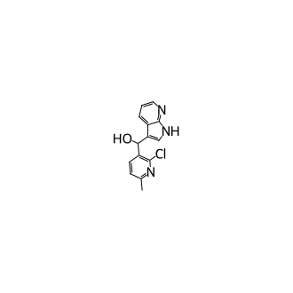 Cc1ccc(C(O)c2c[nH]c3ncccc23)c(Cl)n1